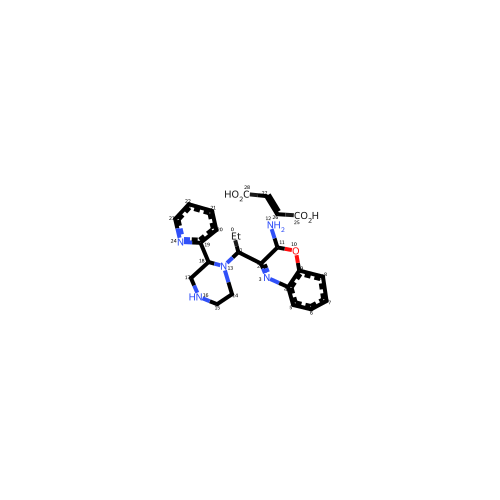 CCC(C1=Nc2ccccc2OC1N)N1CCNCC1c1ccccn1.O=C(O)C=CC(=O)O